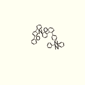 C1=CC2Oc3c(cccc3-n3c4ccccc4c4ccc5c6ccccc6oc5c43)C2C(c2ccc(-n3c(-c4ccccc4)nc4ccccc43)cc2)=C1